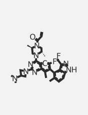 C=CC(=O)N1C[C@H](C)N(c2nc(N3CC(N(C)C)C3)nc3c(C)c(-c4c(C)ccc5[nH]nc(C(F)F)c45)c(C)cc23)C[C@H]1C